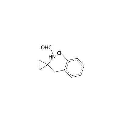 O=CNC1(Cc2ccccc2Cl)CC1